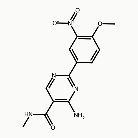 CNC(=O)c1cnc(-c2ccc(OC)c([N+](=O)[O-])c2)nc1N